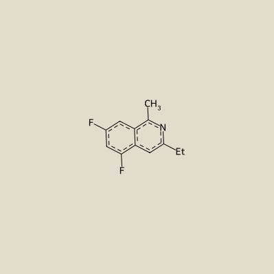 CCc1cc2c(F)cc(F)cc2c(C)n1